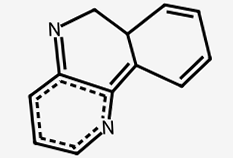 C1=CC2=c3ncccc3=NCC2C=C1